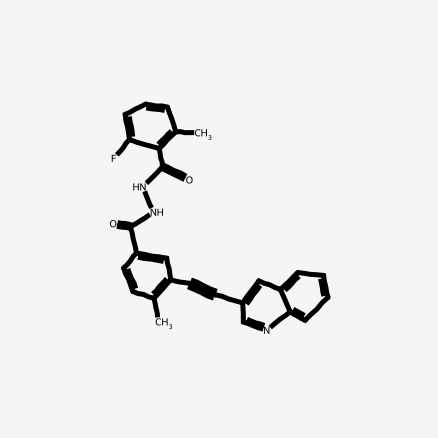 Cc1ccc(C(=O)NNC(=O)c2c(C)cccc2F)cc1C#Cc1cnc2ccccc2c1